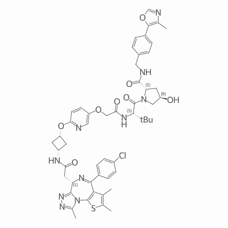 Cc1ncoc1-c1ccc(CNC(=O)[C@@H]2C[C@@H](O)CN2C(=O)[C@@H](NC(=O)COc2ccc(O[C@H]3C[C@@H](NC(=O)C[C@@H]4N=C(c5ccc(Cl)cc5)c5c(sc(C)c5C)-n5c(C)nnc54)C3)nc2)C(C)(C)C)cc1